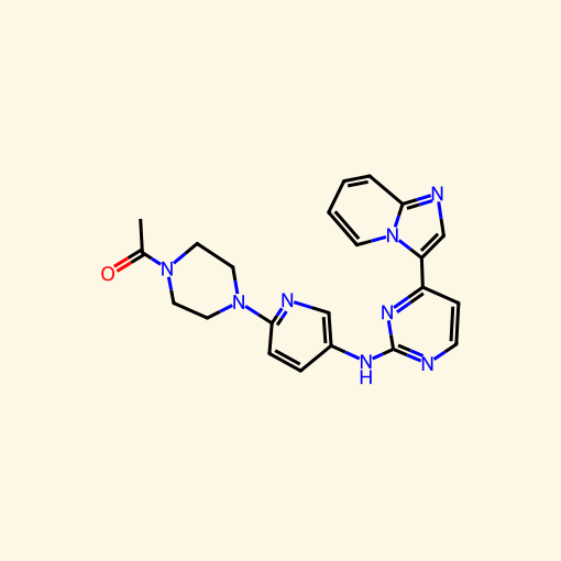 CC(=O)N1CCN(c2ccc(Nc3nccc(-c4cnc5ccccn45)n3)cn2)CC1